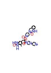 Cc1cc(C[C@@H](OC(=O)N2CCC(N3CCc4ccccc4NC3=O)CC2)C(=O)N2CCN(C3CCN(C)CC3)CC2)cc2[nH]c(=O)[nH]c12